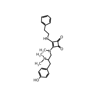 CN(CC(Cc1ccc(O)cc1)N(C)C)c1c(NCCc2ccccc2)c(=O)c1=O